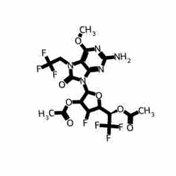 COc1nc(N)nc2c1n(CC(F)(F)F)c(=O)n2C1OC([C@@H](OC(C)=O)C(F)(F)F)C(F)C1OC(C)=O